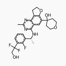 Cc1nc(N[C@H](C)c2cccc(C(F)(F)CO)c2F)c2cc(C3(O)CCOCC3)c3c(c2n1)CCO3